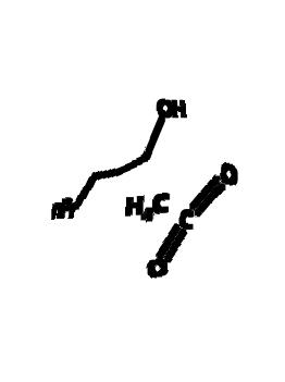 C.CCCCCO.O=C=O